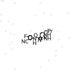 CC(C)CC1C=Cc2c(cn(C)c2C(=O)Nc2ccc(F)c(C#N)c2)S(=N)N1